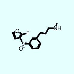 CNCCCc1cccc([S+]([O-])c2ccoc2F)c1